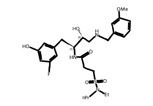 CCCN(CC)S(=O)(=O)CCC(=O)N[C@@H](Cc1cc(O)cc(F)c1)[C@H](O)CNCc1cccc(OC)c1